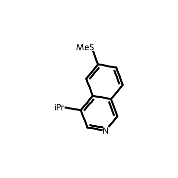 CSc1ccc2cncc(C(C)C)c2c1